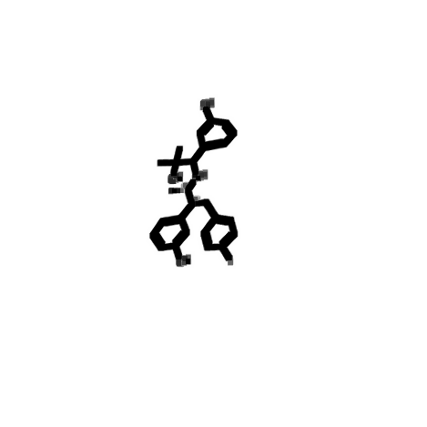 C[C@H](NC(c1cccc(S)c1)C(C)(C)C#N)[C@@H](Cc1ccc(I)cc1)c1cccc(C#N)c1